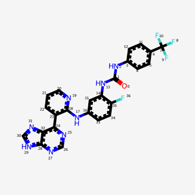 O=C(Nc1ccc(C(F)(F)F)cc1)Nc1cc(Nc2ncccc2-c2ncnc3[nH]cnc23)ccc1F